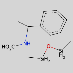 CC(NC(=O)O)c1ccccc1.C[SiH2]O[SiH2]C